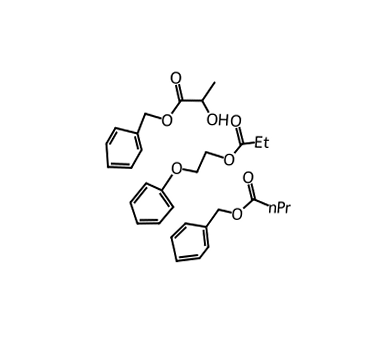 CC(O)C(=O)OCc1ccccc1.CCC(=O)OCCOc1ccccc1.CCCC(=O)OCc1ccccc1